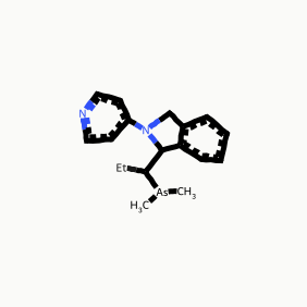 CCC(C1c2ccccc2CN1c1ccncc1)[As](C)C